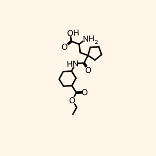 CCOC(=O)C1CCCC(NC(=O)C2(CC(N)C(=O)O)CCCC2)C1